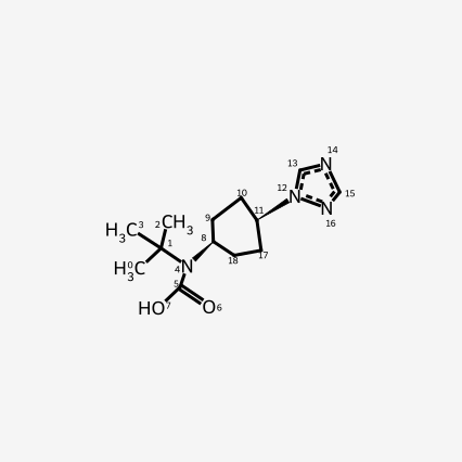 CC(C)(C)N(C(=O)O)[C@H]1CC[C@@H](n2cncn2)CC1